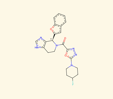 O=C(c1nnc(N2CCC(F)CC2)o1)N1CCc2[nH]cnc2[C@H]1c1cc2ccccc2o1